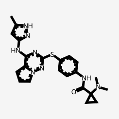 Cc1cc(Nc2nc(Sc3ccc(NC(=O)C4(N(C)C)CC4)cc3)nn3cccc23)n[nH]1